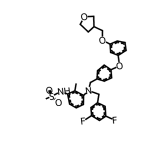 Cc1c(NS(C)(=O)=O)cccc1N(Cc1ccc(Oc2cccc(OCC3CCOC3)c2)cc1)Cc1cc(F)cc(F)c1